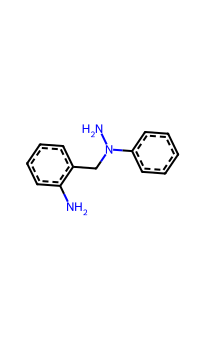 Nc1ccccc1CN(N)c1ccccc1